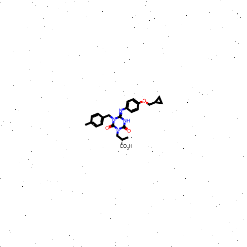 Cc1ccc(Cn2c(=O)n(C[C@H](C)C(=O)O)c(=O)[nH]/c2=N\c2ccc(OCC3CC3)cc2)cc1